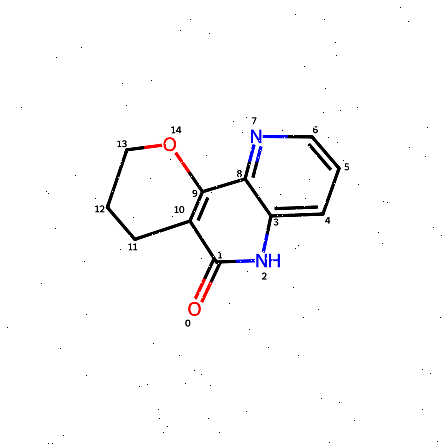 O=c1[nH]c2cccnc2c2c1CCCO2